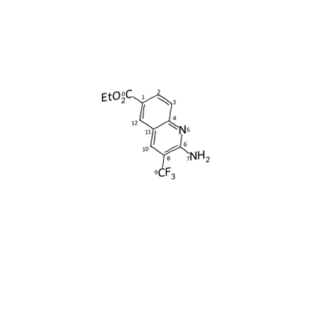 CCOC(=O)c1ccc2nc(N)c(C(F)(F)F)cc2c1